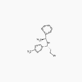 CC(C)CC[C@@H](N[C@@H](C)c1ccccc1)c1ccc(C(F)(F)F)cc1